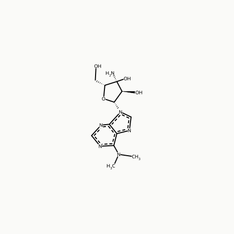 CN(C)c1ncnc2c1ncn2[C@@H]1O[C@H](CO)[C@@](N)(O)[C@H]1O